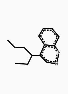 CCCC(CC)c1cnnc2ccccc12